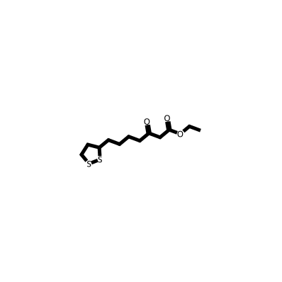 CCOC(=O)CC(=O)CCCCC1CCSS1